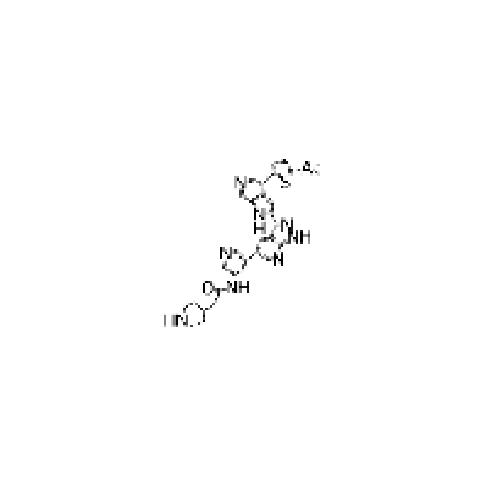 CC(=O)c1ccc(-c2cncc3[nH]c(-c4n[nH]c5ncc(-c6cncc(NC(=O)CC7CCNCC7)c6)cc45)cc23)s1